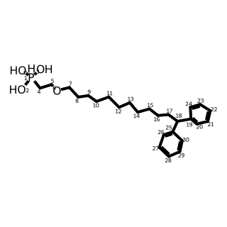 O[PH](O)(O)CCOCCCCCCCCCCCC(c1ccccc1)c1ccccc1